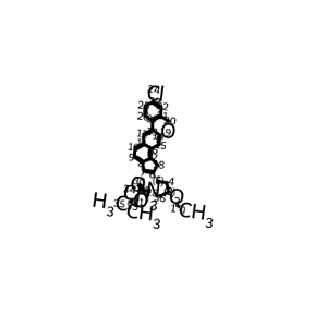 CCO[C@H]1C[C@@H](C2=Cc3ccc4cc5c(cc4c3C2)OCc2cc(Cl)ccc2-5)N(C(=O)OC(C)(C)C)C1